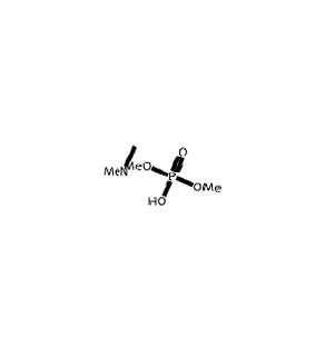 CNC.COP(=O)(O)OC